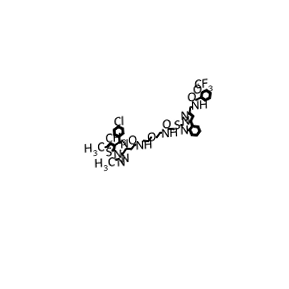 Cc1sc2c(c1C)C(c1ccc(Cl)cc1)=NC(CC(=O)NCCOCCNC(=O)CSc1nc3ccccc3c3cc(CNC(=O)c4ccccc4OC(F)(F)F)nn13)c1nnc(C)n1-2